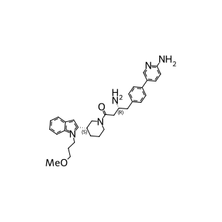 COCCCn1c([C@H]2CCCN(C(=O)C[C@H](N)Cc3ccc(-c4ccc(N)nc4)cc3)C2)cc2ccccc21